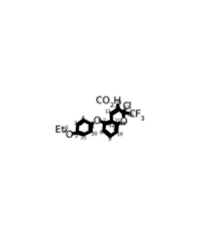 CCOc1ccc(Oc2cccc3c2C=C(C(=O)O)C(Cl)(C(F)(F)F)O3)cc1